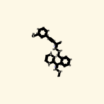 CO/N=C(/C1=NOC=CO1)c1ccccc1CO/N=C(\C)C#Cc1cccc(Cl)c1